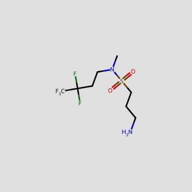 CN(CCC(F)(F)C(F)(F)F)S(=O)(=O)CCCN